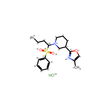 Cc1coc(C2CCCN(C(CCC(C)C)S(=O)(=O)c3ccccc3)C2)n1.Cl